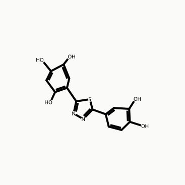 Oc1ccc(-c2nnc(-c3cc(O)c(O)cc3O)s2)cc1O